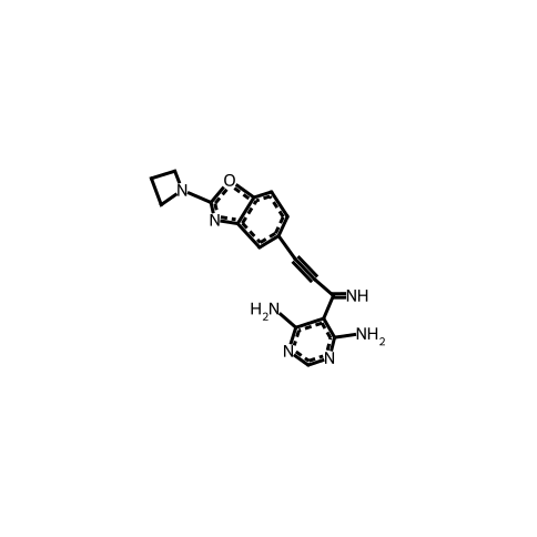 N=C(C#Cc1ccc2oc(N3CCC3)nc2c1)c1c(N)ncnc1N